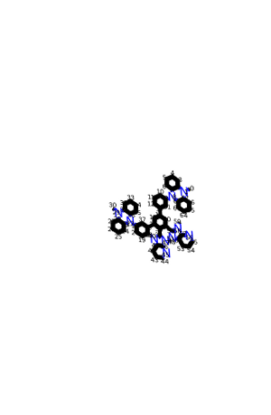 CN1c2ccccc2N(c2cccc(-c3cc(-c4cccc(N5c6ccccc6N(C)c6ccccc65)c4)c(-c4nc5cccnc5n4C)c(-c4nc5cccnc5n4C)c3)c2)c2ccccc21